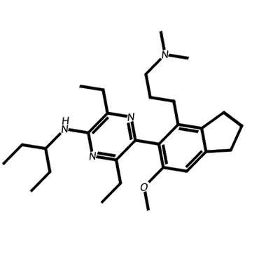 CCc1nc(-c2c(OC)cc3c(c2CCCN(C)C)CCC3)c(CC)nc1NC(CC)CC